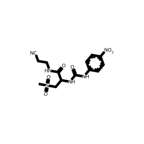 CS(=O)(=O)CC(NC(=O)Nc1ccc([N+](=O)[O-])cc1)C(=O)NCCC#N